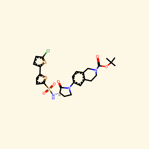 CC(C)(C)OC(=O)N1CCc2cc(N3CC[C@H](NS(=O)(=O)c4ccc(-c5ccc(Cl)s5)s4)C3=O)ccc2C1